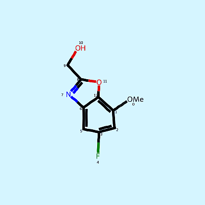 COc1cc(F)cc2nc(CO)oc12